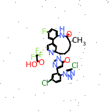 C[C@@H]1CCC[C@H](n2cnc(-c3cc(Cl)ccc3-n3cc(Cl)nn3)cc2=O)c2cc(ccn2)-c2cc(F)ccc2NC1=O.O=C(O)C(F)(F)F